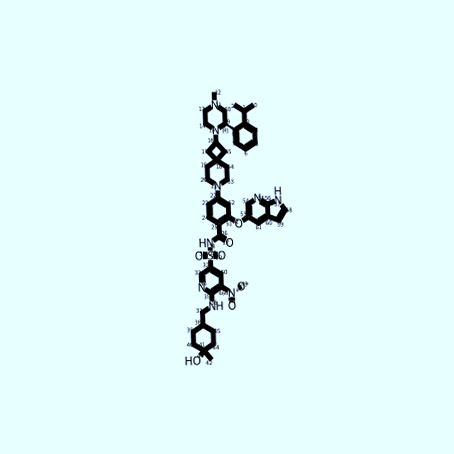 CC(C)c1ccccc1[C@@H]1CN(C)CCN1C1CC2(CCN(c3ccc(C(=O)NS(=O)(=O)c4cnc(NCC5CCC(C)(O)CC5)c([N+](=O)[O-])c4)c(Oc4cnc5[nH]ccc5c4)c3)CC2)C1